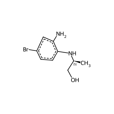 C[C@@H](CO)Nc1ccc(Br)cc1N